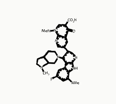 CNc1cc(F)cc2c1[nH]c1ncc(-c3cnc4c(c3)c(=O)c(C(=O)O)cn4NC)c(N3CCC4CCN(C)C4C3)c12